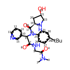 CN(C)C(=O)CNC(=O)C(c1cccnc1)N(C(=O)[C@H]1C[C@@H](O)CN1)c1ccc(C(C)(C)C)cc1